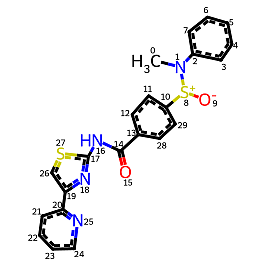 CN(c1ccccc1)[S+]([O-])c1ccc(C(=O)Nc2nc(-c3ccccn3)cs2)cc1